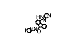 O=C(NCc1ccncc1)C1c2ccccc2-c2c(-c3nc4cnccc4[nH]3)cccc21